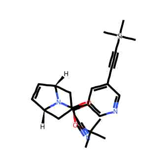 CC(C)(C)OC(=O)N1[C@@H]2C=C[C@H]1C[C@@](C#N)(c1cncc(C#C[Si](C)(C)C)c1)C2